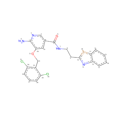 Nc1ncc(C(=O)NCCc2nc3ccccc3s2)cc1OCc1c(Cl)cccc1Cl